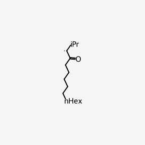 CCCCCCCCCCCC(=O)[CH]C(C)C